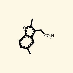 Cc1ccc2oc(C)c(CC(=O)O)c2c1